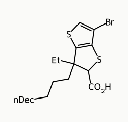 CCCCCCCCCCCCCC1(CC)c2scc(Br)c2SC1C(=O)O